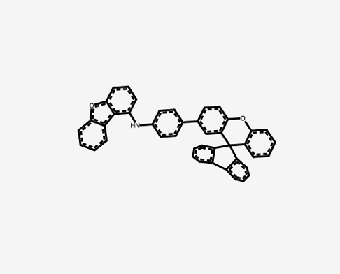 c1ccc2c(c1)Oc1ccc(-c3ccc(Nc4cccc5oc6ccccc6c45)cc3)cc1C21c2ccccc2-c2ccccc21